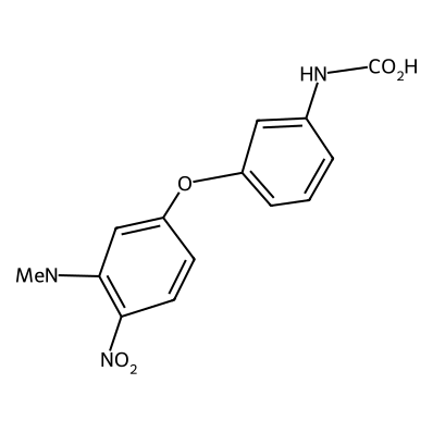 CNc1cc(Oc2cccc(NC(=O)O)c2)ccc1[N+](=O)[O-]